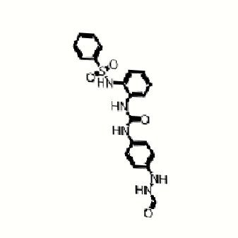 O=CNNc1ccc(NC(=O)Nc2ccccc2NS(=O)(=O)c2ccccc2)cc1